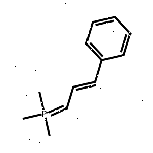 CP(C)(C)=CC=Cc1ccccc1